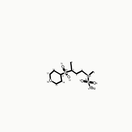 CC(CCN(C)S(=O)(=O)C(C)(C)C)S(=O)(=O)C1CCOCC1